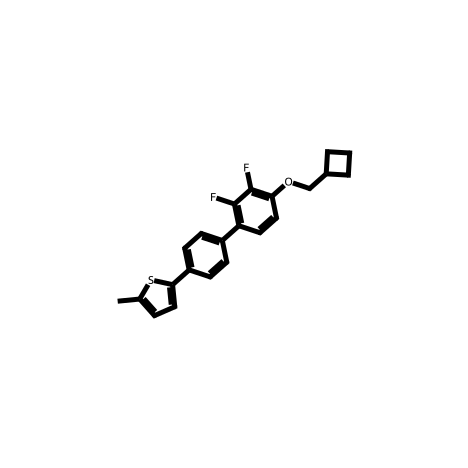 Cc1ccc(-c2ccc(-c3ccc(OCC4CCC4)c(F)c3F)cc2)s1